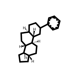 c1ccc(C2CC[C@@H]3CC[C@@H]4[C@H](CC[C@@H]5CCC[C@H]54)[C@H]3C2)cc1